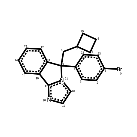 Brc1ccc(C2(CC3CCC3)c3ccccc3-c3nccn32)cc1